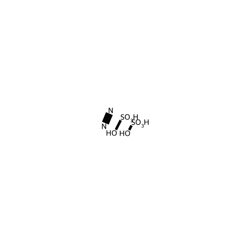 N#N.O=S(=O)(O)O.O=S(=O)(O)O